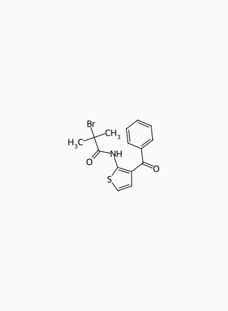 CC(C)(Br)C(=O)Nc1sccc1C(=O)c1ccccc1